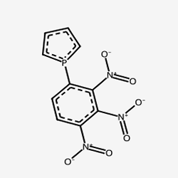 O=[N+]([O-])c1ccc(-p2cccc2)c([N+](=O)[O-])c1[N+](=O)[O-]